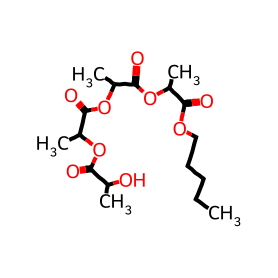 CCCCCOC(=O)C(C)OC(=O)C(C)OC(=O)C(C)OC(=O)C(C)O